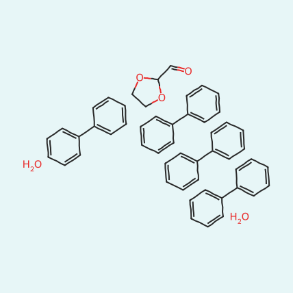 O.O.O=CC1OCCO1.c1ccc(-c2ccccc2)cc1.c1ccc(-c2ccccc2)cc1.c1ccc(-c2ccccc2)cc1.c1ccc(-c2ccccc2)cc1